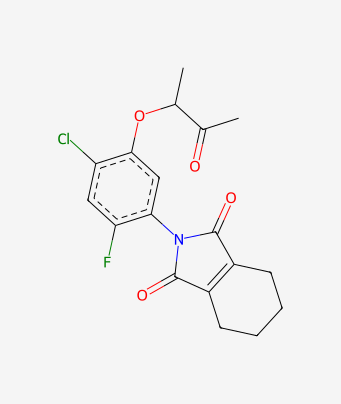 CC(=O)C(C)Oc1cc(N2C(=O)C3=C(CCCC3)C2=O)c(F)cc1Cl